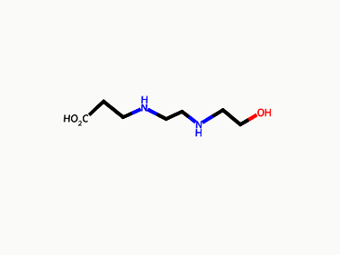 O=C(O)CCNCCNCCO